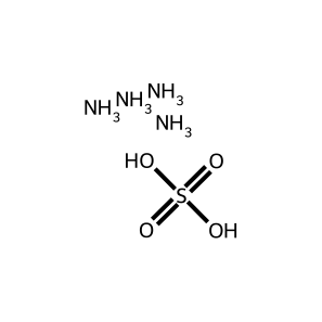 N.N.N.N.O=S(=O)(O)O